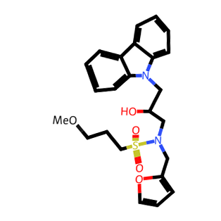 COCCCS(=O)(=O)N(Cc1ccco1)CC(O)Cn1c2ccccc2c2ccccc21